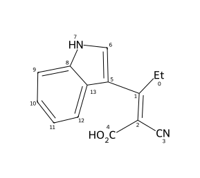 CCC(=C(C#N)C(=O)O)c1c[nH]c2ccccc12